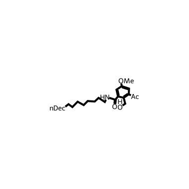 CCCCCCCCCCCCCCCCCCNC(=O)c1cc(OC)cc(C(C)=O)c1CO